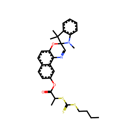 CCCCSC(=S)SC(C)C(=O)Oc1ccc2ccc3c(c2c1)N=CC1(O3)N(C)c2ccccc2C1(C)C